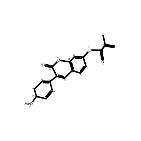 C=C(C)C(=O)Oc1ccc2cc(C3=CCC(OC)C=C3)c(=O)oc2c1